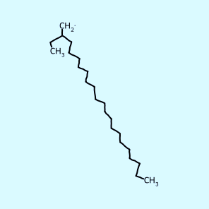 [CH2]C(CC)CCCCCCCCCCCCCCCCCCC